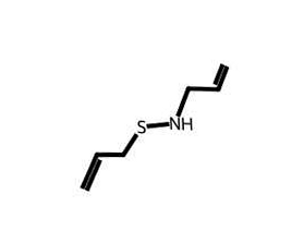 C=CCNSCC=C